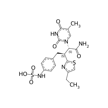 CCc1csc([C@@H](Cc2ccc(NS(=O)(=O)O)cc2)[C@@H](C(N)=O)n2cc(C)c(=O)[nH]c2=O)n1